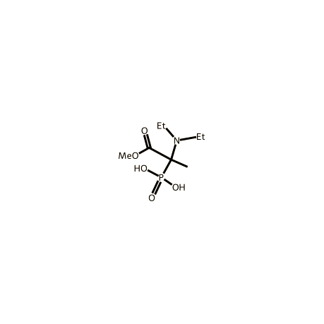 CCN(CC)C(C)(C(=O)OC)P(=O)(O)O